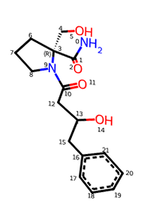 NC(=O)[C@]1(CO)CCCN1C(=O)C[C](O)Cc1ccccc1